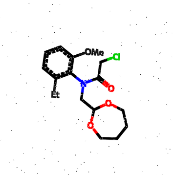 CCc1cccc(OC)c1N(CC1OCCCCO1)C(=O)CCl